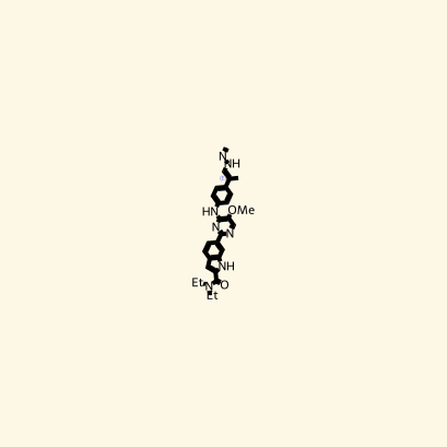 C=NN/C=C(\C)c1ccc(Nc2nc(-c3ccc4cc(C(=O)N(CC)CC)[nH]c4c3)ncc2OC)cc1